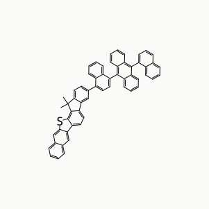 CC1(C)c2ccc(-c3ccc(-c4c5ccccc5c(-c5cccc6ccccc56)c5ccccc45)c4ccccc34)cc2-c2ccc3c(sc4cc5ccccc5cc43)c21